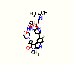 CC(C)NCCOc1ncc(-c2cc3c4c(cnc3cc2F)N(C)C(=O)C42CC(N3CCOCC3)C2)cc1NS(C)(=O)=O